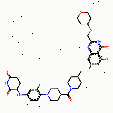 O=C1CCC(Nc2ccc(N3CCC(C(=O)N4CCC(COc5cc(F)c6c(=O)[nH]c(CSC7CCOCC7)nc6c5)CC4)CC3)c(F)c2)C(=O)N1